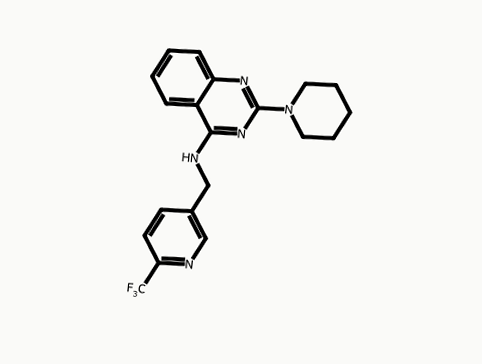 FC(F)(F)c1ccc(CNc2nc(N3CCCCC3)nc3ccccc23)cn1